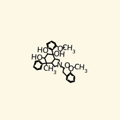 COc1ccccc1CC(=O)N1CC2C(C1)C(O)(c1ccccc1OC)C(O)C(O)C2(C)c1ccccc1